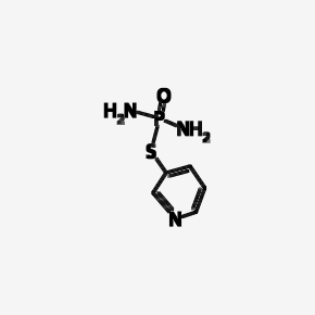 NP(N)(=O)Sc1cccnc1